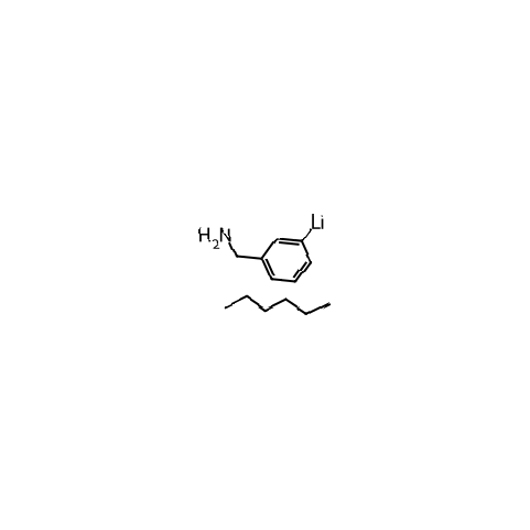 CCCCCC.[Li][c]1cccc(CN)c1